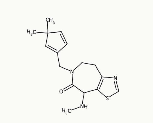 CNC1C(=O)N(CC2=CC(C)(C)C=C2)CCc2ncsc21